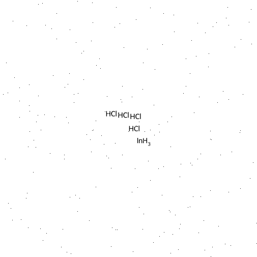 Cl.Cl.Cl.Cl.[InH3]